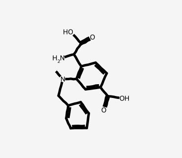 CN(Cc1ccccc1)c1cc(C(=O)O)ccc1C(N)C(=O)O